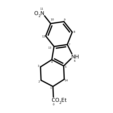 CCOC(=O)C1CCc2c([nH]c3ccc([N+](=O)[O-])cc23)C1